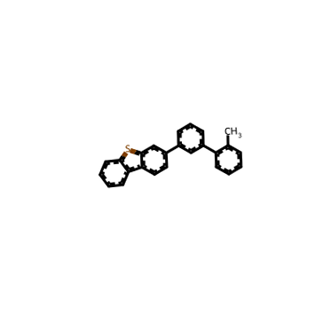 Cc1ccccc1-c1cccc(-c2ccc3c(c2)sc2ccccc23)c1